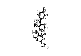 Cc1cc(C(F)(F)F)cc(C)c1Nc1nccc2c1ncn2-c1ccc(F)cn1